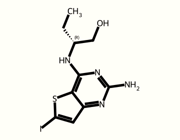 CC[C@H](CO)Nc1nc(N)nc2cc(I)sc12